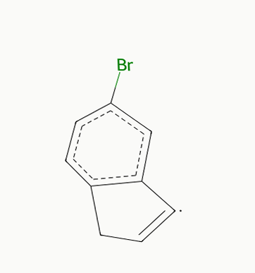 Brc1ccc2c(c1)[C]=CC2